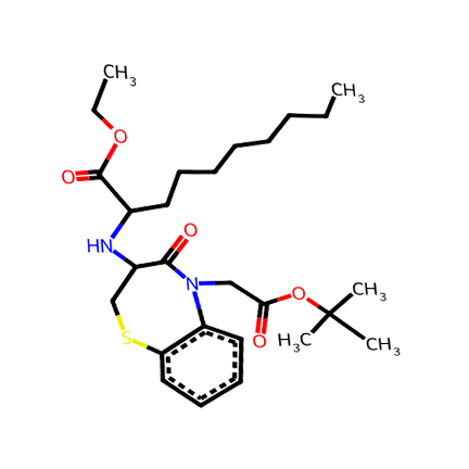 CCCCCCCCC(NC1CSc2ccccc2N(CC(=O)OC(C)(C)C)C1=O)C(=O)OCC